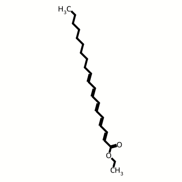 CCCCCCCCC/C=C/C=C/C=C/C=C/C=C/C(=O)OCC